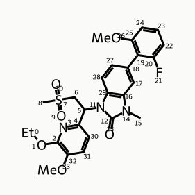 CCOc1nc(C(CS(C)(=O)=O)n2c(=O)n(C)c3cc(-c4c(F)cccc4OC)ccc32)ccc1OC